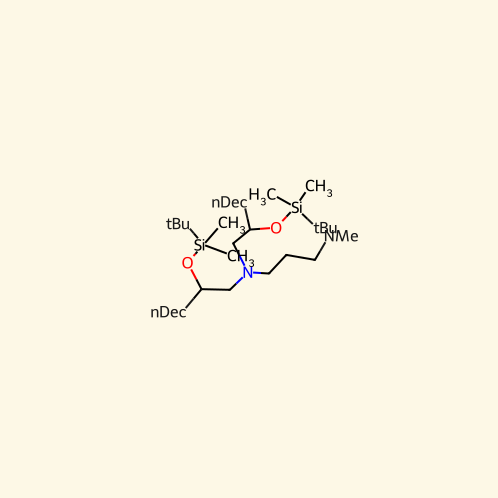 CCCCCCCCCCC(CN(CCCNC)CC(CCCCCCCCCC)O[Si](C)(C)C(C)(C)C)O[Si](C)(C)C(C)(C)C